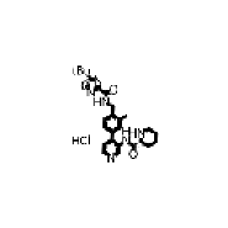 Cc1cc(-c2ccncc2NC(=O)[C@H]2CCCCN2)ccc1CNC(=O)c1noc(C(C)(C)C)n1.Cl